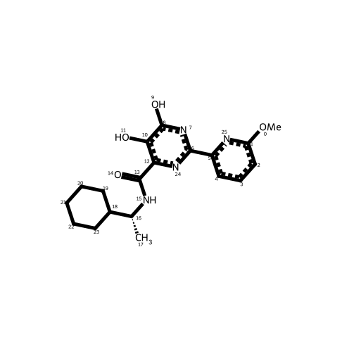 COc1cccc(-c2nc(O)c(O)c(C(=O)N[C@H](C)C3CCCCC3)n2)n1